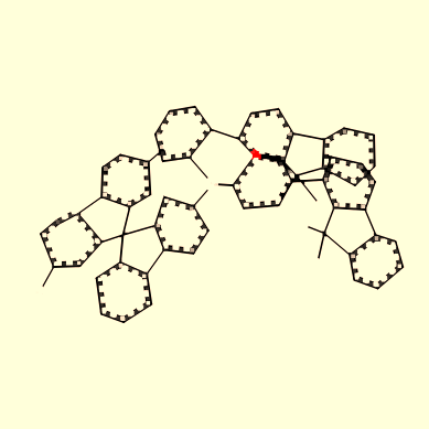 CC(C)(C)c1ccc2c(c1)C1(c3ccccc3-c3ccc(N(c4ccc(-c5cccc6c5C(C)(C)c5ccccc5-6)cc4)c4ccccc4-c4ccc5c(c4)C(C)(C)c4ccccc4-5)cc31)c1cc(C(C)(C)C)ccc1-2